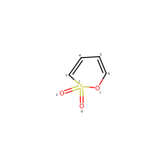 O=S1(=O)C=CC=CO1